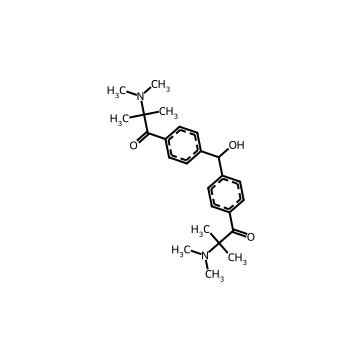 CN(C)C(C)(C)C(=O)c1ccc(C(O)c2ccc(C(=O)C(C)(C)N(C)C)cc2)cc1